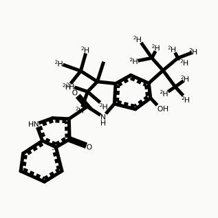 [2H]C([2H])([2H])C(C)(c1cc(C(C([2H])([2H])[2H])(C([2H])([2H])[2H])C([2H])([2H])[2H])c(O)cc1NC(=O)c1c[nH]c2ccccc2c1=O)C([2H])([2H])[2H]